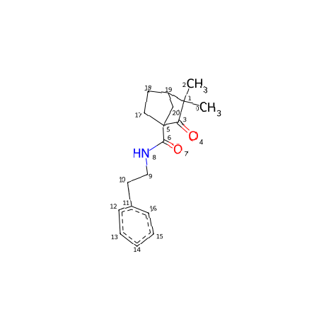 CC1(C)C(=O)C2(C(=O)NCCc3ccccc3)CCC1C2